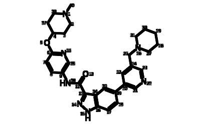 CN1CCC(Oc2ccc(NC(=O)c3n[nH]c4ccc(-c5cncc(CN6CCCCC6)c5)cc34)cn2)CC1